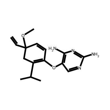 C=CC1(OC)C=CC(Oc2cnc(N)nc2N)=C(C(C)C)C1